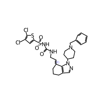 O=C(NC/C=C1\CCCc2cnn(C3CCN(Cc4ccccc4)CC3)c21)NS(=O)(=O)c1cc(Cl)c(Cl)s1